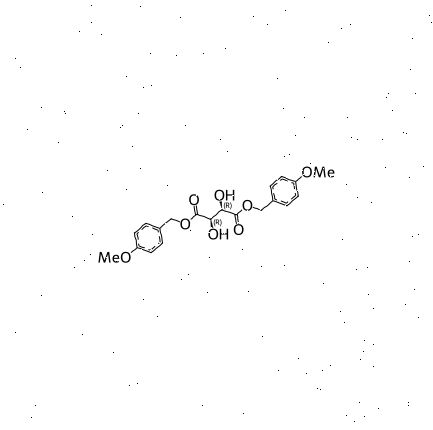 COc1ccc(COC(=O)[C@H](O)[C@@H](O)C(=O)OCc2ccc(OC)cc2)cc1